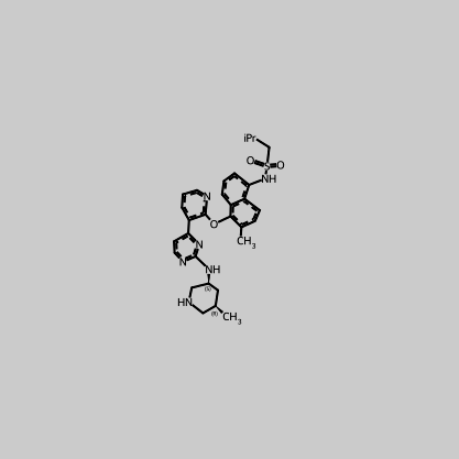 Cc1ccc2c(NS(=O)(=O)CC(C)C)cccc2c1Oc1ncccc1-c1ccnc(N[C@@H]2CNC[C@H](C)C2)n1